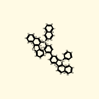 c1ccc(-n2c3cc(-c4ccc(N(c5ccc6ccccc6c5)c5cc6ccccc6c6oc7ccccc7c56)cc4)ccc3c3ccc4ccccc4c32)cc1